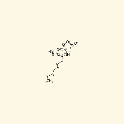 CCCCCCCC(=O)N[C@@H](CC(=O)[O-])C(=O)[O-].[K+].[K+]